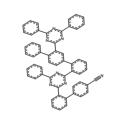 N#Cc1ccc(-c2ccccc2-c2nc(-c3ccccc3)nc(-c3ccccc3-c3ccc(-c4ccccc4)c(-c4nc(-c5ccccc5)nc(-c5ccccc5)n4)c3)n2)cc1